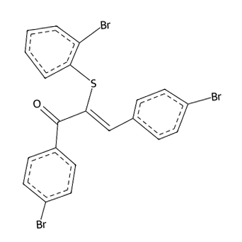 O=C(C(=Cc1ccc(Br)cc1)Sc1ccccc1Br)c1ccc(Br)cc1